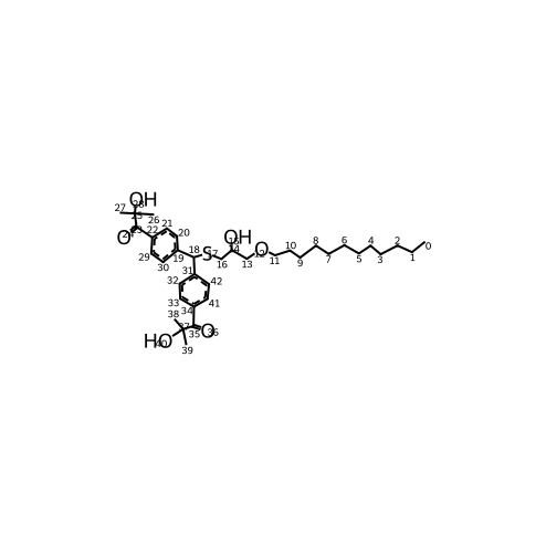 CCCCCCCCCCCCOCC(O)CSC(c1ccc(C(=O)C(C)(C)O)cc1)c1ccc(C(=O)C(C)(C)O)cc1